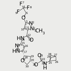 Cn1nc(OCC(F)(F)F)cc1C(=O)Nc1cc([C@@H]2C[C@H](OC(=O)NC34CC(C3)C4)CO2)[nH]n1